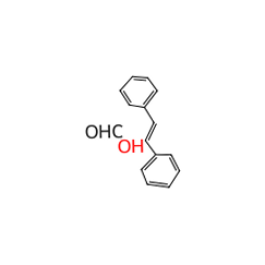 C(=Cc1ccccc1)c1ccccc1.O=CO